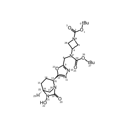 CC(C)(C)OC(=O)N1CC(N(Cc2nnc([C@@H]3CC[C@H]4CN3C(=O)N4O)o2)C(=O)OC(C)(C)C)C1